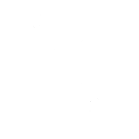 CC(O)c1cc2c(OC(=O)OCCC[C@H](N)C(=O)O)c3ccccc3c(OC(=O)OCCC[C@H](N)C(=O)O)c2o1